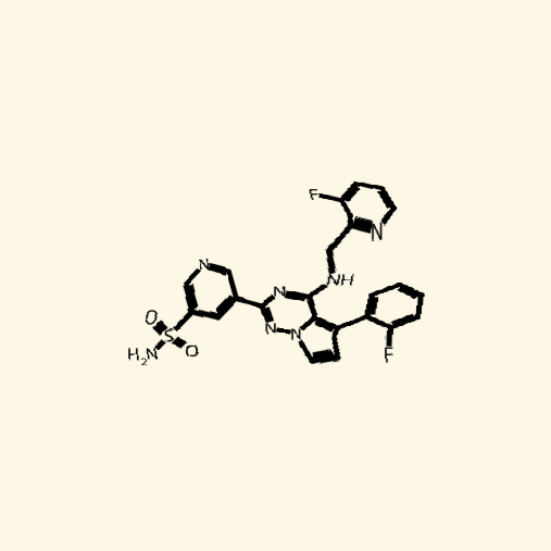 NS(=O)(=O)c1cncc(-c2nc(NCc3ncccc3F)c3c(-c4ccccc4F)ccn3n2)c1